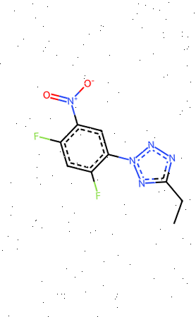 CCc1nnn(-c2cc([N+](=O)[O-])c(F)cc2F)n1